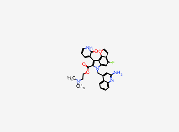 CN(C)CCOC(=O)c1c(-c2ccc[nH]c2=O)c2c3occc3c(F)cc2n1Cc1cc(N)nc2ccccc12